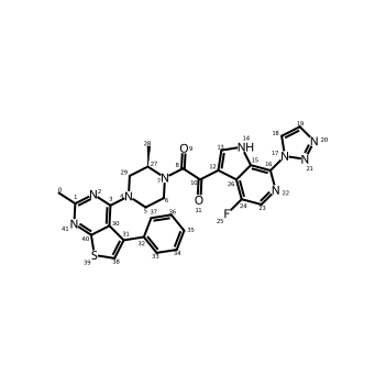 Cc1nc(N2CCN(C(=O)C(=O)c3c[nH]c4c(-n5ccnn5)ncc(F)c34)[C@H](C)C2)c2c(-c3ccccc3)csc2n1